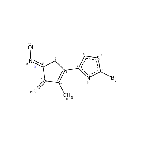 CC1=C(c2csc(Br)n2)C/C(=N\O)C1=O